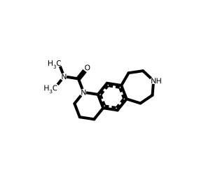 CN(C)C(=O)N1CCCc2cc3c(cc21)CCNCC3